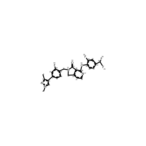 Cc1nn(C)cc1-c1ccc(CN2Cc3ccnc(Oc4ccc(C(F)F)cc4F)c3C2=O)c(F)c1